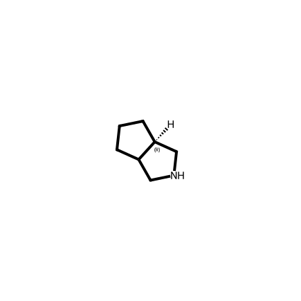 C1CC2CNC[C@@H]2C1